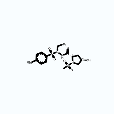 CC(C)CN(NC(=O)[C@@H]1C[C@@H](S)CN1S(C)(=O)=O)S(=O)(=O)c1ccc(C(C)(C)C)cc1